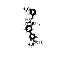 Cc1cccc(CNc2nc3cnc(-c4ccc(N(C)C)cc4)cc3n2C)c1